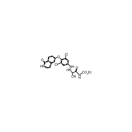 CCOC(=O)NC(=O)C(C#N)NNc1cc(Cl)c(Oc2ccc3c(=O)[nH]ccc3c2)c(Cl)c1